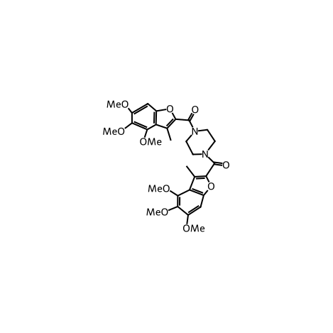 COc1cc2oc(C(=O)N3CCN(C(=O)c4oc5cc(OC)c(OC)c(OC)c5c4C)CC3)c(C)c2c(OC)c1OC